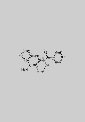 Nc1c2c(nc3ccccc13)N(C(=O)c1ccccc1)CCC2